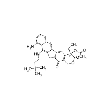 CC[C@@]1(OC(C)=O)C(=O)OCc2c1cc1n(c2=O)Cc2c-1nc1cccc(N)c1c2NCCC(C)(C)C